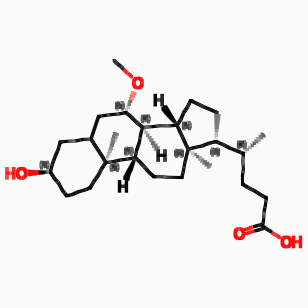 CO[C@H]1CC2C[C@H](O)CC[C@]2(C)[C@H]2CC[C@]3(C)[C@@H]([C@H](C)CCC(=O)O)CC[C@H]3[C@H]12